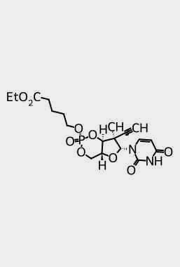 C#C[C@]1(C)[C@@H]2O[P@](=O)(OCCCCC(=O)OCC)OC[C@H]2O[C@H]1n1ccc(=O)[nH]c1=O